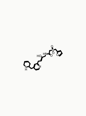 O=C(CS(=O)(=O)Cc1ccco1)NCC(O)=CCc1cc(CC2CC=CCN2)ccn1